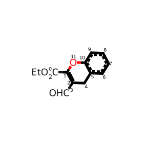 CCOC(=O)C1=C(C=O)Cc2ccccc2O1